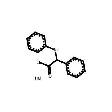 Cl.O=C(Cl)C(Nc1ccccc1)c1ccccc1